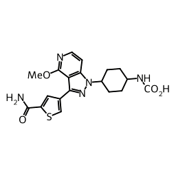 COc1nccc2c1c(-c1csc(C(N)=O)c1)nn2C1CCC(NC(=O)O)CC1